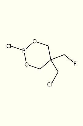 FCC1(CCl)COP(Cl)OC1